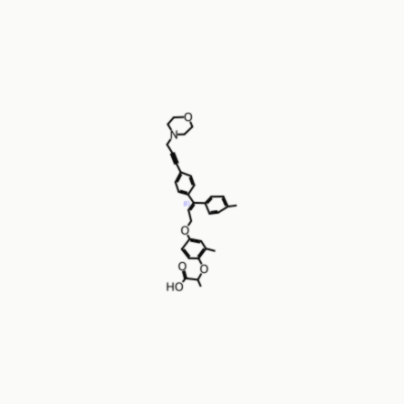 Cc1ccc(/C(=C\COc2ccc(OC(C)C(=O)O)c(C)c2)c2ccc(C#CCN3CCOCC3)cc2)cc1